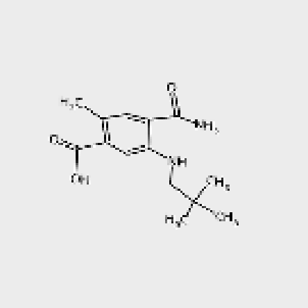 Cc1cc(C(N)=O)c(NCC(C)(C)C)cc1C(=O)O